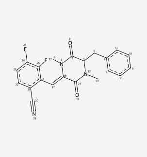 CN1C(=O)C(Cc2ccccc2)N(C)C(=O)C1=Cc1c(C#N)ccc(F)c1F